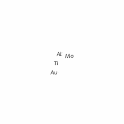 [Al].[Au].[Mo].[Ti]